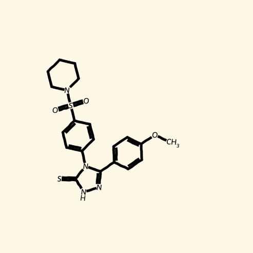 COc1ccc(-c2n[nH]c(=S)n2-c2ccc(S(=O)(=O)N3CCCCC3)cc2)cc1